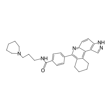 O=C(NCCCN1CCCCC1)c1ccc(-c2nc3ccc4[nH]ncc4c3c3c2CCCC3)cc1